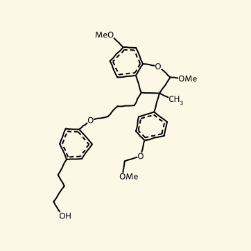 COCOc1ccc(C2(C)C(OC)Oc3cc(OC)ccc3C2CCCOc2ccc(CCCO)cc2)cc1